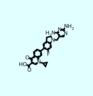 Nc1ncc(CN2CCc3cc(-c4ccc5c(=O)c(C(=O)O)cn(C6CC6)c5c4)c(F)cc32)c(N)n1